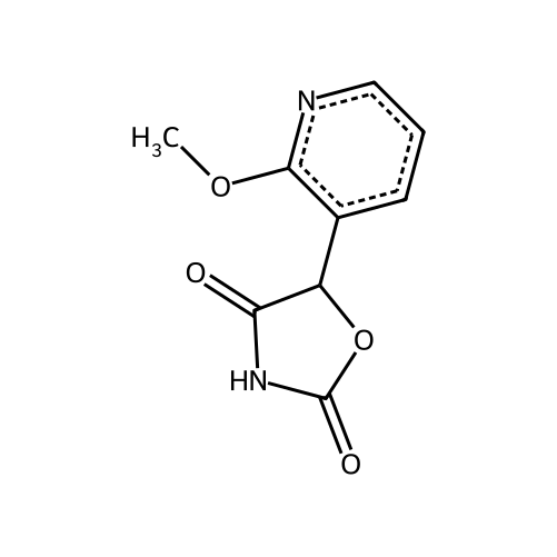 COc1ncccc1C1OC(=O)NC1=O